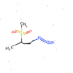 CC(CN=[N+]=[N-])S(C)(=O)=O